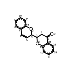 O=C1CC(C2C=Cc3ccccc3O2)Oc2ccccc21